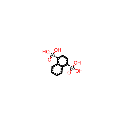 O=[As](O)(O)c1ccc([As](=O)(O)O)c2ccccc12